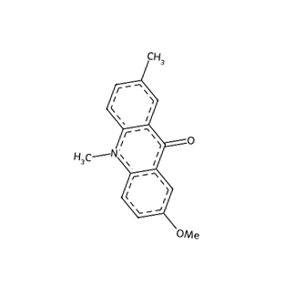 COc1ccc2c(c1)c(=O)c1cc(C)ccc1n2C